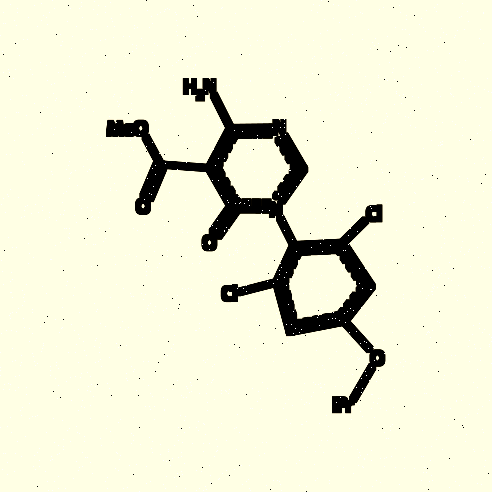 COC(=O)c1c(N)ncn(-c2c(Cl)cc(OC(C)C)cc2Cl)c1=O